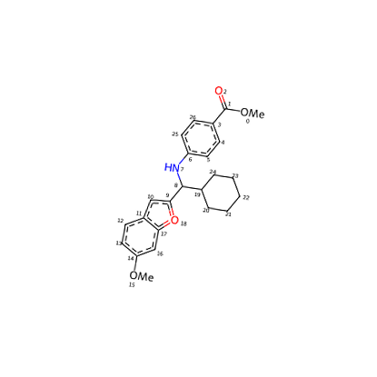 COC(=O)c1ccc(NC(c2cc3ccc(OC)cc3o2)C2CCCCC2)cc1